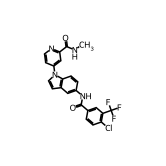 CNC(=O)c1cc(-n2ccc3cc(NC(=O)c4ccc(Cl)c(C(F)(F)F)c4)ccc32)ccn1